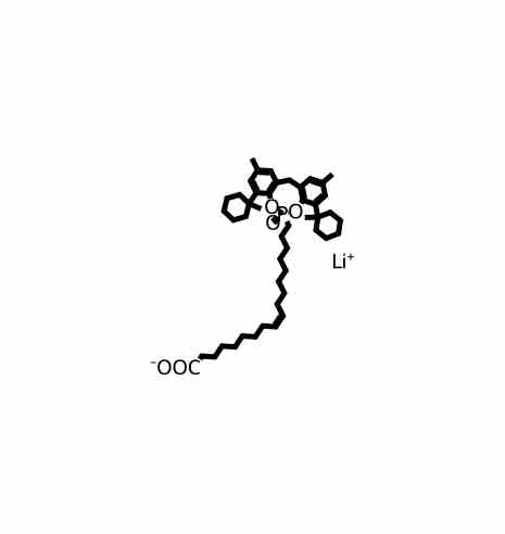 Cc1cc2c(c(C3(C)CCCCC3)c1)OP(=O)(CCCCCCCC/C=C\CCCCCCCC(=O)[O-])Oc1c(cc(C)cc1C1(C)CCCCC1)C2.[Li+]